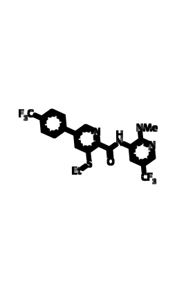 CCSc1cc(-c2ccc(C(F)(F)F)cc2)cnc1C(=O)Nc1cc(C(F)(F)F)cnc1NC